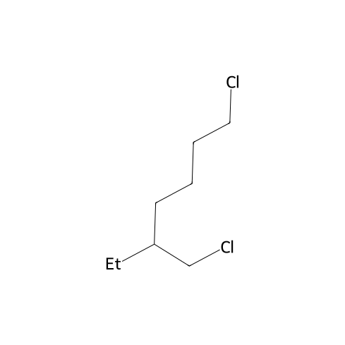 CCC(CCl)CCCCCl